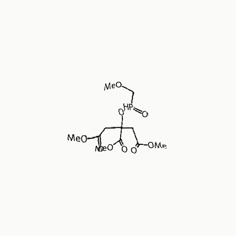 COC[PH](=O)OC(CC(=O)OC)(CC(=O)OC)C(=O)OC